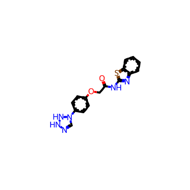 O=C(COc1ccc(N2C=NNN2)cc1)Nc1nc2ccccc2s1